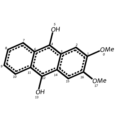 COc1cc2c(O)c3ccccc3c(O)c2cc1OC